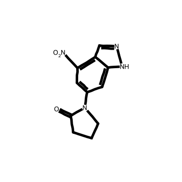 O=C1CCCN1c1cc([N+](=O)[O-])c2cn[nH]c2c1